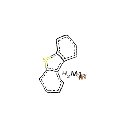 Br.[MgH2].c1ccc2c(c1)sc1ccccc12